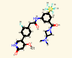 CCOc1cc(=O)[nH]cc1-c1ccc(CC(=O)Nc2cc(C(=O)N3CC(N(C)C)C3)cc(S(F)(F)(F)(F)F)c2)c(F)c1